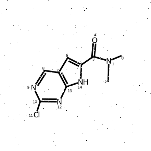 CN(C)C(=O)c1cc2cnc(Cl)nc2[nH]1